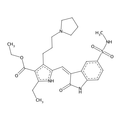 CCOC(=O)c1c(CC)[nH]c(C=C2C(=O)Nc3ccc(S(=O)(=O)NC)cc32)c1CCCN1CCCC1